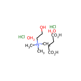 C[N+](C)(C)CCO.Cl.Cl.O.O.O=C(O)CCC(=O)O